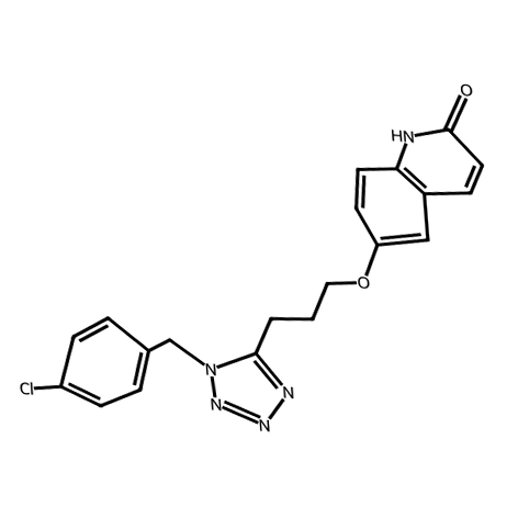 O=c1ccc2cc(OCCCc3nnnn3Cc3ccc(Cl)cc3)ccc2[nH]1